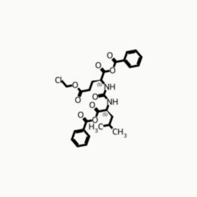 CC(C)C[C@H](NC(=O)N[C@@H](CCC(=O)OCCl)C(=O)OC(=O)c1ccccc1)C(=O)OC(=O)c1ccccc1